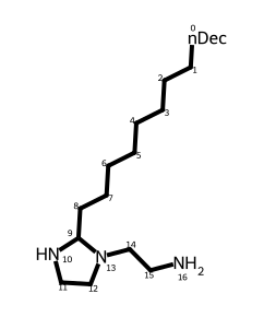 CCCCCCCCCCCCCCCCCCC1NCCN1CCN